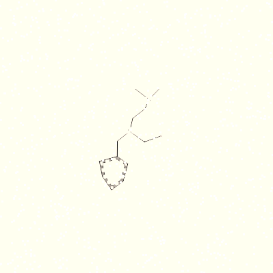 CN(C)CCN(CI)Cc1ccccc1